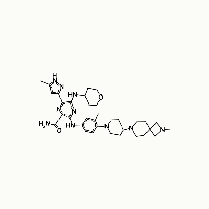 Cc1cc(-c2nc(C(N)=O)c(Nc3ccc(N4CCC(N5CCC6(CC5)CN(C)C6)CC4)c(C)c3)nc2NC2CCOCC2)n[nH]1